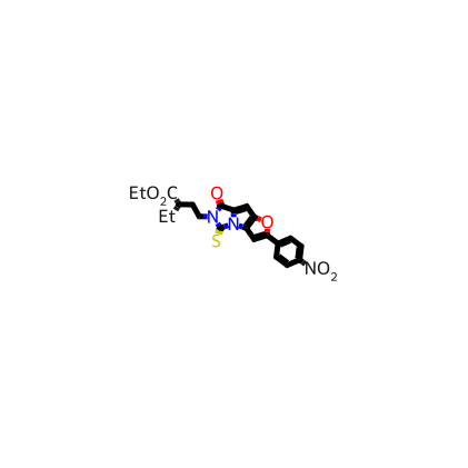 CCOC(=O)C(CC)CCN1C(=O)c2cc3oc(-c4ccc([N+](=O)[O-])cc4)cc3n2C1=S